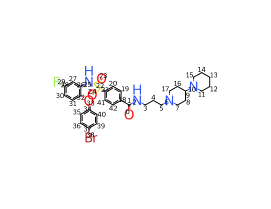 O=C(NCCCN1CCC(N2CCCCC2)CC1)c1ccc(S(=O)(=O)Nc2cc(F)ccc2Oc2ccc(Br)cc2)cc1